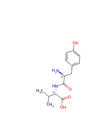 CC(C)[C@H](NC(=O)[C@@H](N)Cc1ccc(O)cc1)C(=O)O